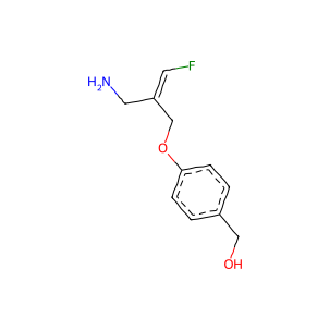 NC/C(=C/F)COc1ccc(CO)cc1